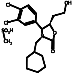 CS(=O)(=O)O.O=C1O[C@H](CCO)C(c2ccc(Cl)c(Cl)c2)N1CC1CCCCC1